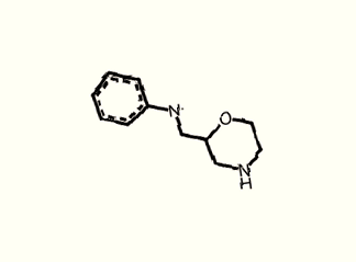 c1ccc([N]CC2CNCCO2)cc1